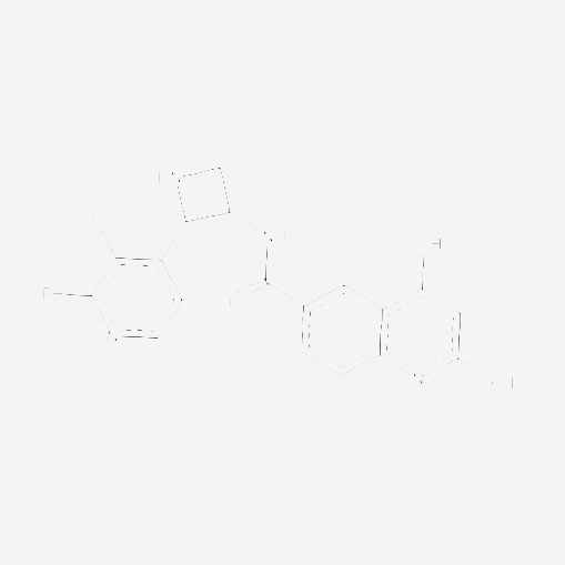 Cc1cc(C)c2cc(C(=O)NC3CNC3c3ccnc(F)c3F)ccc2n1